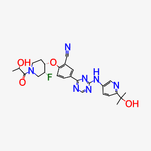 CC(O)C(=O)N1CC[C@H](Oc2ccc(-c3ncnc(Nc4ccc(C(C)(C)O)nc4)n3)cc2C#N)[C@H](F)C1